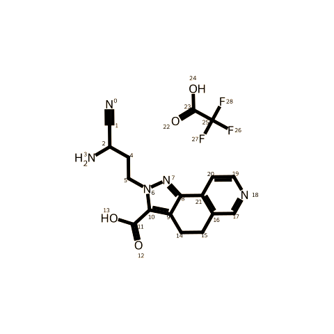 N#CC(N)CCn1nc2c(c1C(=O)O)CCc1cnccc1-2.O=C(O)C(F)(F)F